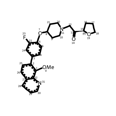 COc1c(-c2ccc(OC3CCN(CC(=O)[C@H]4CCCO4)CC3)c(F)c2)ccc2cccnc12